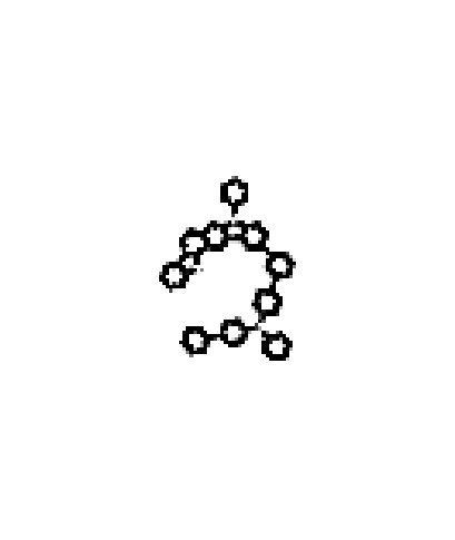 c1ccc(-c2ccc(N(c3ccccc3)c3ccc(-c4cccc(-c5ccc6c(c5)c5cc7c(ccc8c9ccccc9sc78)cc5n6-c5ccccc5)c4)cc3)cc2)cc1